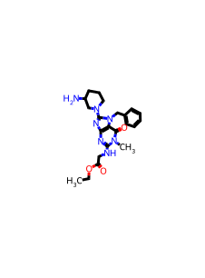 CCOC(=O)CNc1nc2nc(N3CCCC(N)C3)n(Cc3ccccc3)c2c(=O)n1C